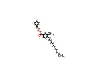 CCCCCCCCCCCCc1ccc(C(=O)OCCOc2ccccc2)cc1C